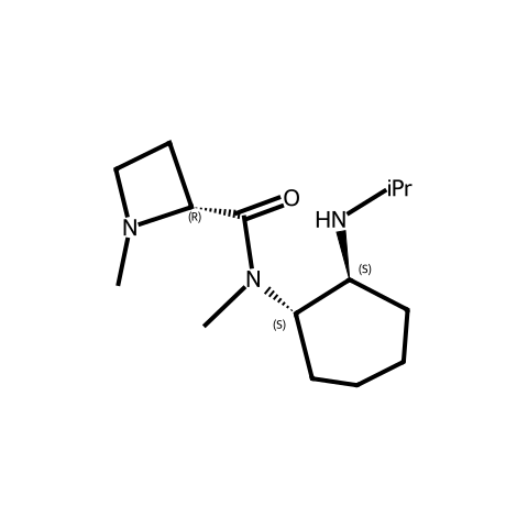 CC(C)N[C@H]1CCCC[C@@H]1N(C)C(=O)[C@H]1CCN1C